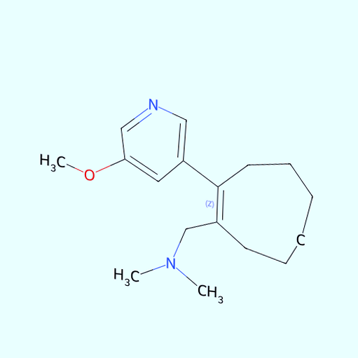 COc1cncc(/C2=C(\CN(C)C)CCCCCC2)c1